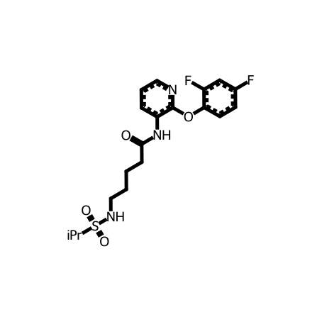 CC(C)S(=O)(=O)NCCCCC(=O)Nc1cccnc1Oc1ccc(F)cc1F